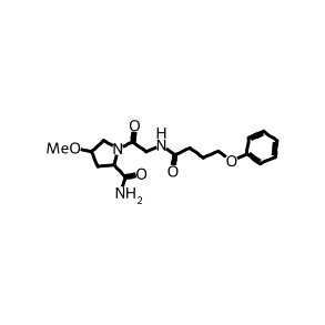 COC1CC(C(N)=O)N(C(=O)CNC(=O)CCCOc2ccccc2)C1